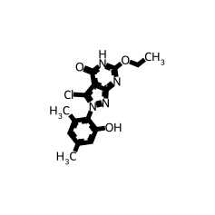 CCOc1nc2nn(-c3c(C)cc(C)cc3O)c(Cl)c2c(=O)[nH]1